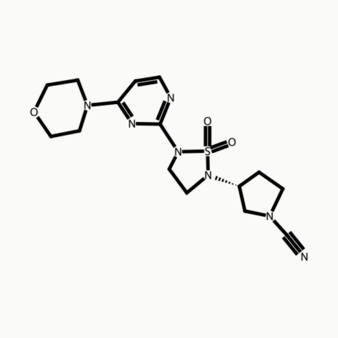 N#CN1CC[C@@H](N2CCN(c3nccc(N4CCOCC4)n3)S2(=O)=O)C1